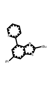 CC(C)c1cc(-c2ccccn2)c2nc(C(C)(C)C)sc2c1